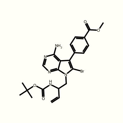 C=CC(Cn1c(Br)c(-c2ccc(C(=O)OC)cc2)c2c(N)ncnc21)NC(=O)OC(C)(C)C